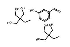 CCC(CO)(CO)CO.CCC(CO)(CO)CO.O=Cc1cccc(O)c1